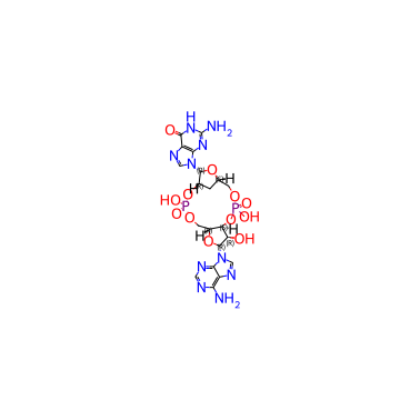 Nc1nc2c(ncn2[C@@H]2O[C@@H]3COP(=O)(O)O[C@H]4[C@@H](O)[C@H](n5cnc6c(N)ncnc65)O[C@@H]4COP(=O)(O)O[C@@H]2C3)c(=O)[nH]1